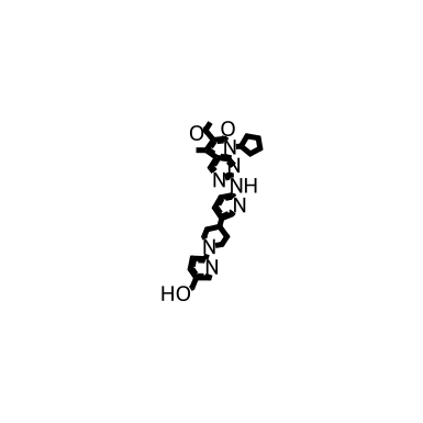 CC(=O)c1c(C)c2cnc(Nc3ccc(C4CCN(c5ccc(CO)cn5)CC4)cn3)nc2n(C2CCCC2)c1=O